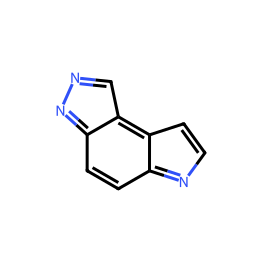 C1=Cc2c3c(ccc2=N1)=NN=C3